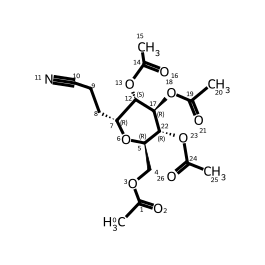 CC(=O)OC[C@H]1O[C@H](CCC#N)[C@H](OC(C)=O)[C@@H](OC(C)=O)[C@@H]1OC(C)=O